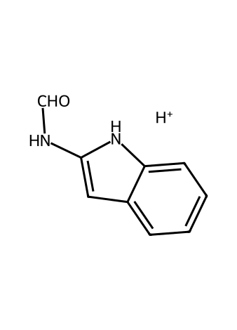 O=CNc1cc2ccccc2[nH]1.[H+]